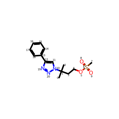 CC(C)(CCOS(C)(=O)=O)n1cc(-c2ccccc2)nn1